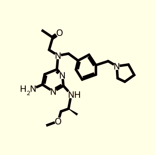 COC[C@H](C)Nc1nc(N)cc(N(CC(C)=O)Cc2cccc(CN3CCCC3)c2)n1